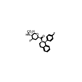 O=C(O)N[C@@H]1CO[C@@H](C(=O)N2CCc3ccccc3[C@@H]2c2ccc(F)cc2)C[C@H]1F